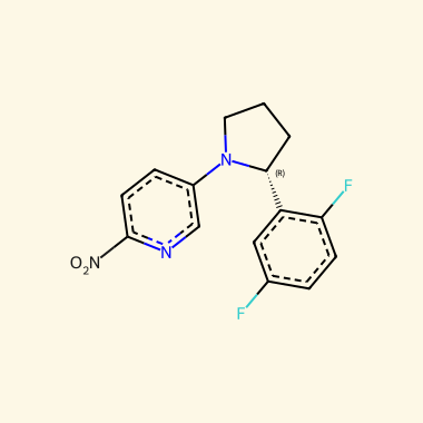 O=[N+]([O-])c1ccc(N2CCC[C@@H]2c2cc(F)ccc2F)cn1